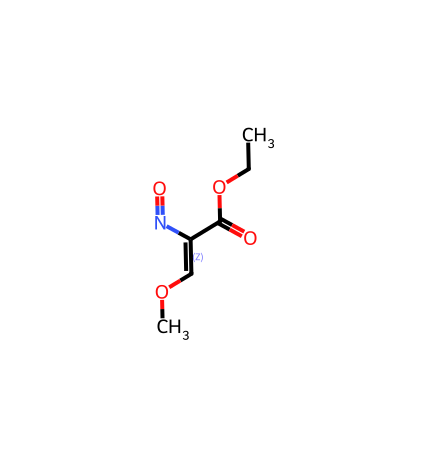 CCOC(=O)/C(=C/OC)N=O